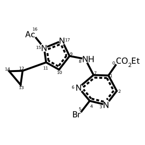 CCOC(=O)c1cnc(Br)nc1Nc1cc(C2CC2)n(C(C)=O)n1